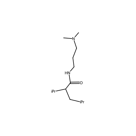 CC(C)CC(C(=O)NCCCN(C)C)C(C)C